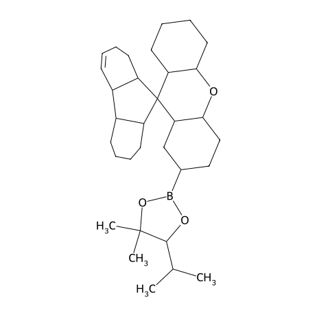 CC(C)C1OB(C2CCC3OC4CCCCC4C4(C3C2)C2CCC=CC2C2CCCCC24)OC1(C)C